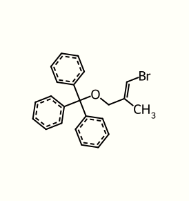 CC(=CBr)COC(c1ccccc1)(c1ccccc1)c1ccccc1